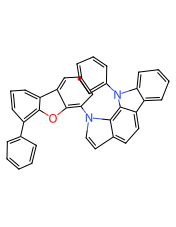 c1ccc(-c2cccc3c2oc2c(-n4ccc5ccc6c7ccccc7n(-c7ccccc7)c6c54)cccc23)cc1